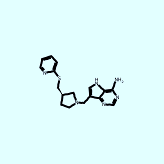 Nc1ncnc2c(CN3CC[C@@H](CSc4ccccn4)C3)c[nH]c12